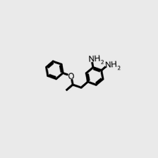 CC(Cc1ccc(N)c(N)c1)Oc1ccccc1